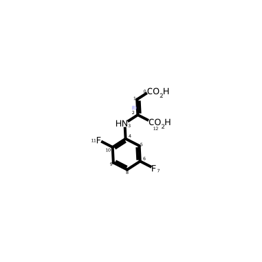 O=C(O)/C=C(/Nc1cc(F)ccc1F)C(=O)O